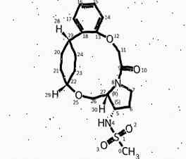 CS(=O)(=O)N[C@H]1CCN2C(=O)COc3ccccc3[C@H]3CC[C@H](CC3)OC[C@@H]12